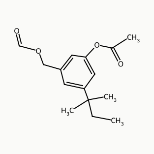 CCC(C)(C)c1cc(COC=O)cc(OC(C)=O)c1